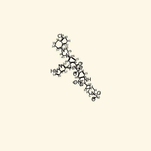 CS(=O)(=O)N1CCC2(CC1)CC(CNc1ccc(S(=O)(=O)NC(=O)c3ccc(N4CCN([C@@H]5CCCCc6c(Cl)cccc65)CC4)cc3Oc3cnc4[nH]ccc4c3)cc1[N+](=O)[O-])C2